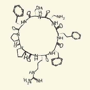 N=C(N)NCCC[C@@H]1NC(=O)[C@@H]2CCCN2C(=O)[C@H]2CCCN2C(=O)[C@H](Cc2ccccc2)NC(=O)[C@H](CO)NC(=O)[C@H](CN)NC(=O)[C@H](CCc2ccccc2)NC(=O)[C@H](Cc2ccccc2)NC1=O